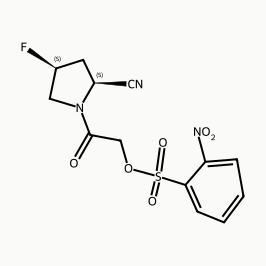 N#C[C@@H]1C[C@H](F)CN1C(=O)COS(=O)(=O)c1ccccc1[N+](=O)[O-]